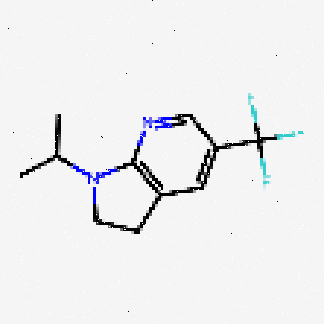 CC(C)N1CCc2cc(C(F)(F)F)cnc21